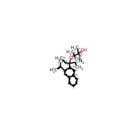 C=C(C)c1cc2ccccc2cc1C(CC)(CC)OC(C)(C)C(C)(C)O